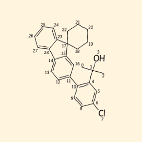 CC(C)(O)c1cc(Cl)ccc1-c1ccc2c(c1)C1(CCCCC1)c1ccccc1-2